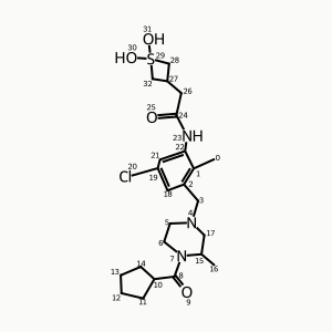 Cc1c(CN2CCN(C(=O)C3CCCC3)C(C)C2)cc(Cl)cc1NC(=O)CC1CS(O)(O)C1